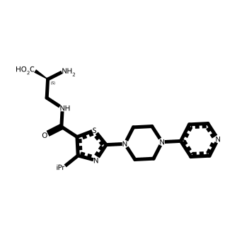 CC(C)c1nc(N2CCN(c3ccncc3)CC2)sc1C(=O)NC[C@H](N)C(=O)O